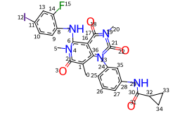 Cc1c(=O)n(C)c(Nc2ccc(I)cc2F)c2c(=O)n(C)c(=O)n(-c3cccc(NC(=O)C4CC4)c3)c12